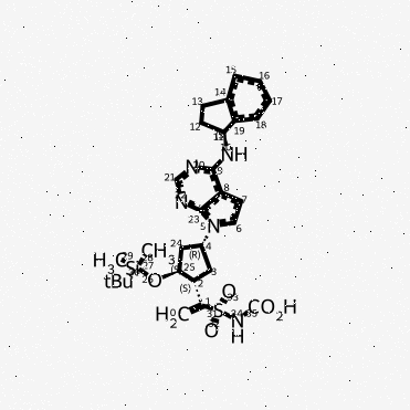 C=C([C@H]1C[C@@H](n2ccc3c(N[C@H]4CCc5ccccc54)ncnc32)C[C@@H]1O[Si](C)(C)C(C)(C)C)S(=O)(=O)NC(=O)O